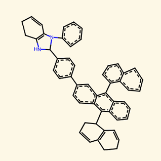 C1=CC2=C(C=CCC2c2c3ccccc3c(-c3cccc4ccccc34)c3cc(-c4ccc(C5NC6=C(C=CCC6)N5c5ccccc5)cc4)ccc23)CC1